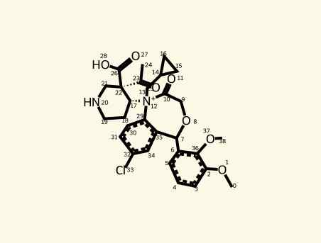 COc1cccc(C2OCC(=O)[N+](CC3CC3)([C@@H]3CCNC[C@@]3(C(C)=O)C(=O)O)c3ccc(Cl)cc32)c1OC